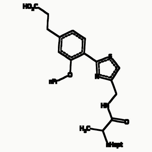 CCCCCCCC(C)C(=O)NCc1csc(-c2ccc(CCC(=O)O)cc2OCCC)n1